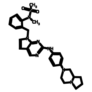 CN(c1ccccc1Cn1ccc2cnc(Nc3ccc(N4CCN5CCCC5C4)cc3)nc21)S(C)(=O)=O